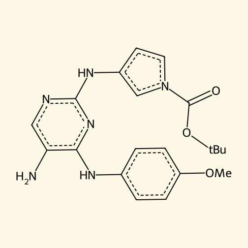 COc1ccc(Nc2nc(Nc3ccn(C(=O)OC(C)(C)C)c3)ncc2N)cc1